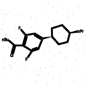 CCCCC(=O)c1c(F)cc([C@H]2CC[C@H](CCC)CC2)cc1F